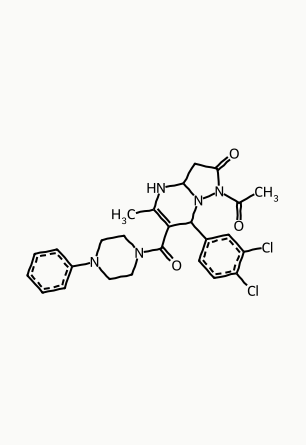 CC(=O)N1C(=O)CC2NC(C)=C(C(=O)N3CCN(c4ccccc4)CC3)C(c3ccc(Cl)c(Cl)c3)N21